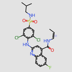 C/C=C\NC(=O)c1cc(Nc2c(Cl)cc(S(=O)(=O)NCC(C)C)cc2Cl)nc2ccc(F)cc12